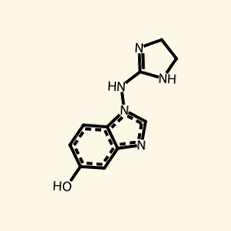 Oc1ccc2c(c1)ncn2NC1=NCCN1